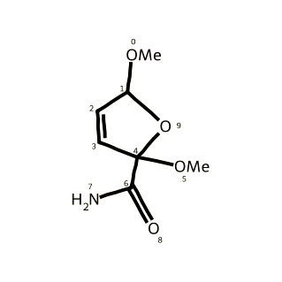 COC1C=CC(OC)(C(N)=O)O1